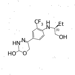 CC[C@@H](CO)Nc1ccc(C2=NNC(O)OC2)cc1C(F)(F)F